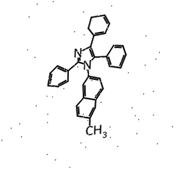 Cc1ccc2cc(-n3c(-c4ccccc4)nc(C4=CC=CCC4)c3-c3ccccc3)ccc2c1